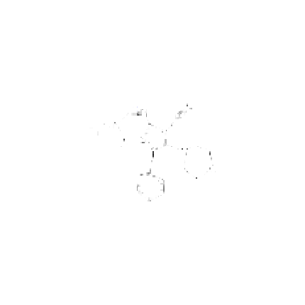 CN(C)/C=N\c1sc(-c2ccccc2)c(N2CCOCC2)c1C#N